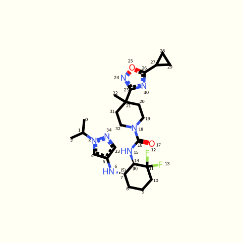 CC(C)n1cc(N[C@H]2CCCC(F)(F)[C@@H]2NC(=O)N2CCC(C)(c3noc(C4CC4)n3)CC2)cn1